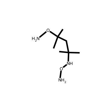 CC(C)(CC(C)(C)ON)NON